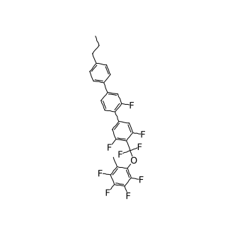 CCCc1ccc(-c2ccc(-c3cc(F)c(C(F)(F)Oc4c(C)c(F)c(F)c(F)c4F)c(F)c3)c(F)c2)cc1